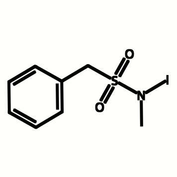 CN(I)S(=O)(=O)Cc1ccccc1